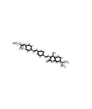 CCc1c(/C=C/c2ccc(/C=C/c3ccc(/C=C(\C#N)C(=O)O)cc3)cc2)c(=O)oc2cc(N(C)C)ccc12